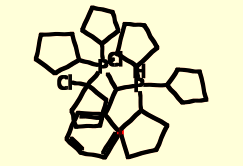 ClC1(P(Cl)(C2CCCC2)(C2CCCC2)C(c2ccccc2)[PH](C2CCCC2)(C2CCCC2)C2CCCC2)CCCC1